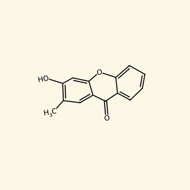 Cc1cc2c(=O)c3ccccc3oc2cc1O